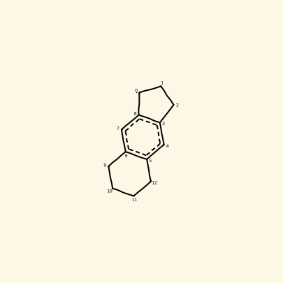 [CH]1CCc2cc3c(cc21)CCCC3